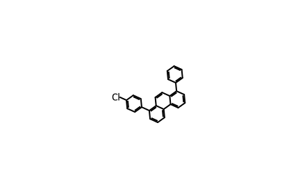 Clc1ccc(-c2cccc3c2ccc2c(-c4ccccc4)cccc23)cc1